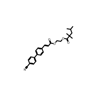 CC(C)CC(C)(C)C(=O)OCCOC(=O)/C=C/c1ccc(-c2ccc(C#N)cc2)cc1